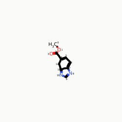 COC(=O)C1=CC=C2N=CN=C2C1